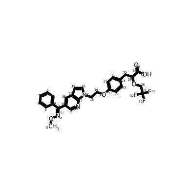 CO/N=C(\c1ccccc1)c1cnc2c(ccn2CCOc2ccc(CC(OCC(F)(F)F)C(=O)O)cc2)c1